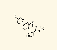 COc1ccc(-c2ccc3c(C4CNCCN4C(=O)OC(C)(C)C)cnn3c2)cc1